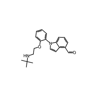 CC(C)(C)NCCOc1ccccc1-n1ccc2c(C=O)cccc21